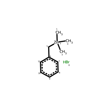 Br.[CH3][Zn]([CH3])([CH3])[CH2]c1ccccc1